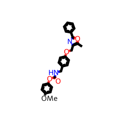 COc1ccc(OC(=O)NCc2ccc(OCc3nc(-c4ccccc4)oc3C)cc2)cc1